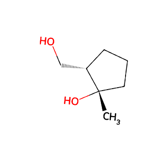 C[C@]1(O)CCC[C@H]1CO